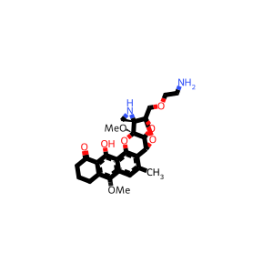 COc1c2c(c(O)c3c4c(c(C)cc13)C1OC3(COCCN)OC1[C@@](OC)(O4)[C@@]31CN1)C(=O)CCC2